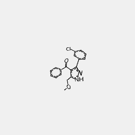 COCc1[nH]nc(-c2cccc(Cl)c2)c1C(=O)c1ccccc1